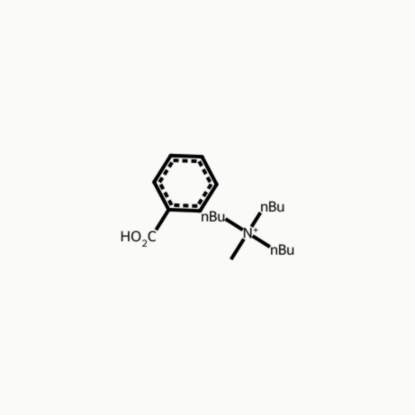 CCCC[N+](C)(CCCC)CCCC.O=C(O)c1ccccc1